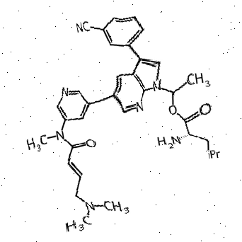 CC(C)C[C@H](N)C(=O)OC(C)n1cc(-c2cccc(C#N)c2)c2cc(-c3cncc(N(C)C(=O)/C=C/CN(C)C)c3)cnc21